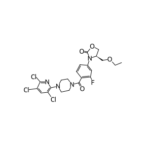 CCOC[C@@H]1COC(=O)N1c1ccc(C(=O)N2CCN(c3nc(Cl)c(Cl)cc3Cl)CC2)c(F)c1